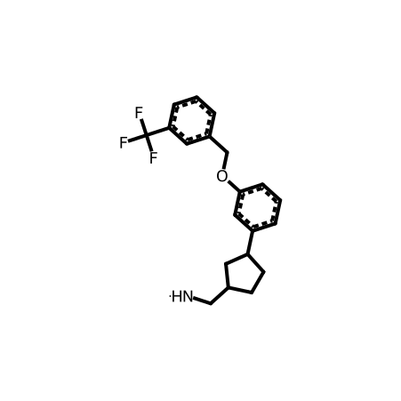 [NH]CC1CCC(c2cccc(OCc3cccc(C(F)(F)F)c3)c2)C1